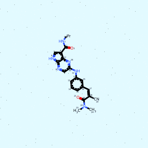 CC(C)NC(=O)c1c[nH]c2ncc(Nc3cccc(C=C(C#N)C(=O)N(C)C)c3)nc12